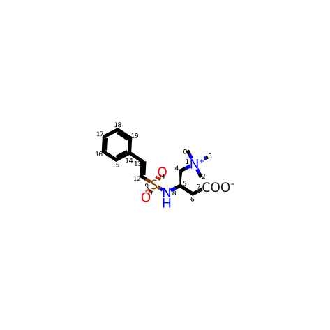 C[N+](C)(C)C[C@@H](CC(=O)[O-])NS(=O)(=O)C=Cc1ccccc1